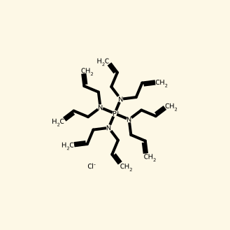 C=CCN(CC=C)[P+](N(CC=C)CC=C)(N(CC=C)CC=C)N(CC=C)CC=C.[Cl-]